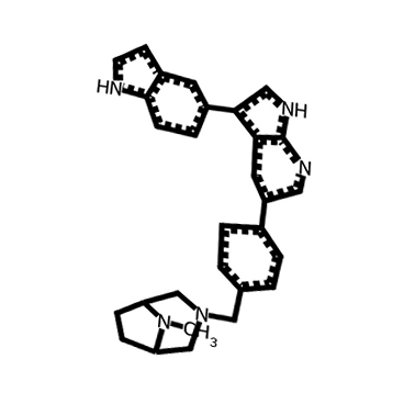 CN1C2CCC1CN(Cc1ccc(-c3cnc4[nH]cc(-c5ccc6[nH]ccc6c5)c4c3)cc1)C2